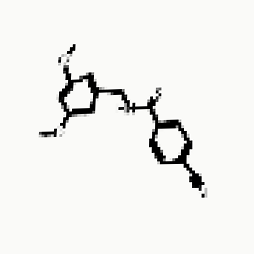 COc1cc(CNC(=S)c2ccc(C#N)cc2)cc(OC)c1